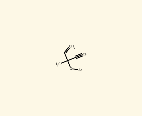 C#CC(C)(C=C)OC(C)=O